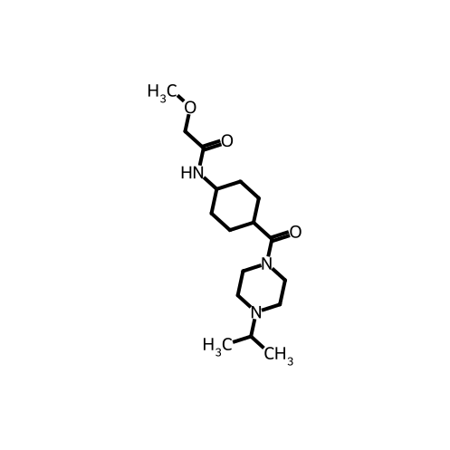 COCC(=O)NC1CCC(C(=O)N2CCN(C(C)C)CC2)CC1